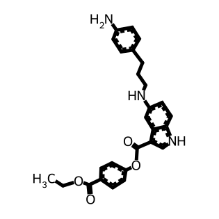 CCOC(=O)c1ccc(OC(=O)c2c[nH]c3ccc(NCCCc4ccc(N)cc4)cc23)cc1